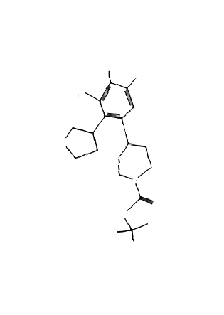 Cc1cc(C2CCN(C(=O)OC(C)(C)C)CC2)c(C2CCOC2)c(C)c1C